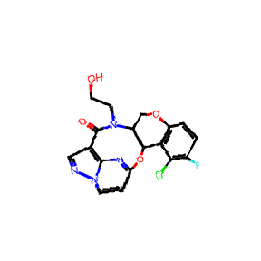 O=C1c2cnn3ccc(nc23)OC2c3c(ccc(F)c3Cl)OCC2N1CCO